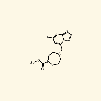 CC(C)(C)OC(=O)N1CCC[C@@H](Oc2cc(I)cc3nccn23)CC1